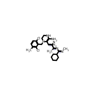 C\N=C(/N=C(C)/C(N)=C/C1=C(N)NCCN1Cc1c(Cl)ccc(C)c1Cl)C1CCCCC1